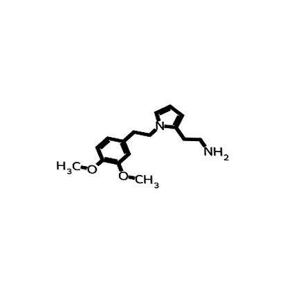 COc1ccc(CCn2cccc2CCN)cc1OC